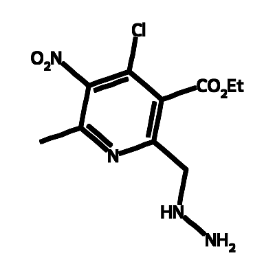 CCOC(=O)c1c(CNN)nc(C)c([N+](=O)[O-])c1Cl